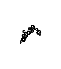 O=C1C(=O)N(Cc2ccc(F)cc2)c2ccc(S(=O)(=O)N3CCC[C@H]3COC3CCOCC3)cc21